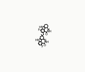 CC1(Cc2cc(F)c3[nH]c4c5c3c2C(=O)NN=C5CCC4)CC2=NNC(=O)c3c(F)ccc4[nH]c(c2c34)C1